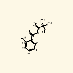 O=C(CC(=O)C(F)(F)F)c1ccccc1F